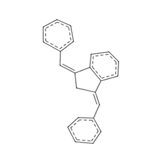 C(=C1\C/C(=C\c2ccccc2)c2ccccc21)/c1ccccc1